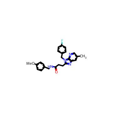 COc1ccc(CNC(=O)CCc2nc3cc(C)cnc3n2Cc2ccc(F)cc2)cc1